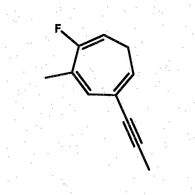 CC#CC1=CCC=C(F)C(C)=C1